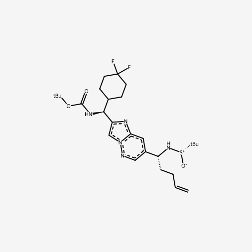 C=CCC[C@@H](N[S@@+]([O-])C(C)(C)C)c1cnn2cc([C@@H](NC(=O)OC(C)(C)C)C3CCC(F)(F)CC3)nc2c1